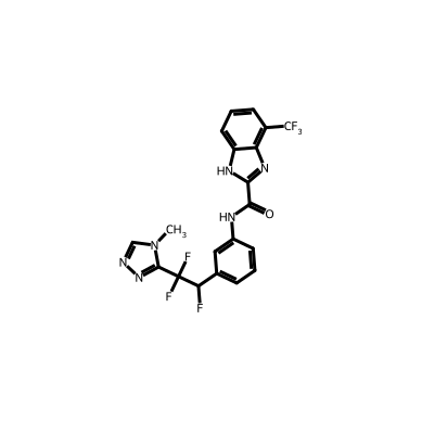 Cn1cnnc1C(F)(F)C(F)c1cccc(NC(=O)c2nc3c(C(F)(F)F)cccc3[nH]2)c1